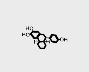 Oc1ccc([C@@H]2Cc3cc(O)c(O)cc3[C@@H]3CCCC[C@H]23)cc1